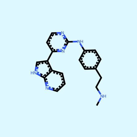 CNCCc1ccc(Nc2nccc(-c3c[nH]c4ncccc34)n2)cc1